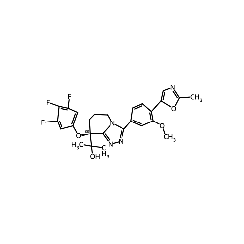 COc1cc(-c2nnc3n2CCC[C@@]3(Oc2cc(F)c(F)c(F)c2)C(C)(C)O)ccc1-c1cnc(C)o1